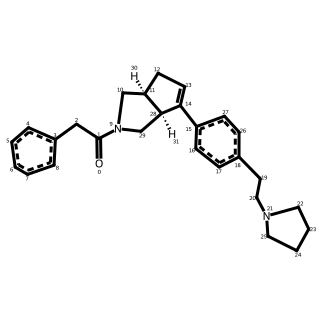 O=C(Cc1ccccc1)N1C[C@H]2CC=C(c3ccc(CCN4CCCC4)cc3)[C@H]2C1